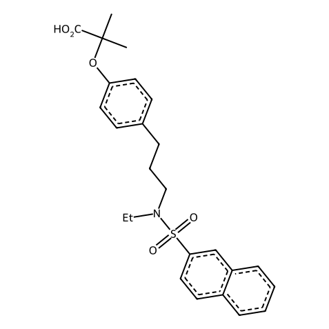 CCN(CCCc1ccc(OC(C)(C)C(=O)O)cc1)S(=O)(=O)c1ccc2ccccc2c1